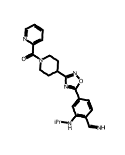 CC(C)Nc1cc(-c2nc(C3CCN(C(=O)c4ccccn4)CC3)no2)ccc1C=N